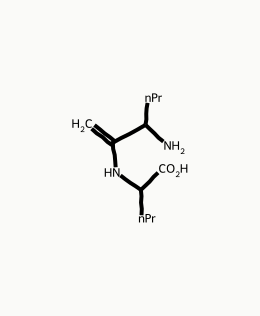 C=C(NC(CCC)C(=O)O)C(N)CCC